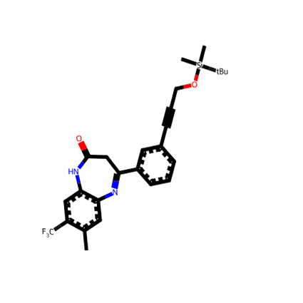 Cc1cc2c(cc1C(F)(F)F)NC(=O)CC(c1cccc(C#CCO[Si](C)(C)C(C)(C)C)c1)=N2